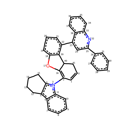 C1=CC(n2c3c(c4ccccc42)CCCC3)=C2Oc3cccc(-c4cc(-c5ccccc5)nc5ccccc45)c3C2C1